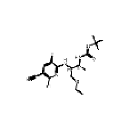 CCOC[C@@H](Nc1nc(Cl)c(C#N)cc1F)[C@H](C)NC(=O)OC(C)(C)C